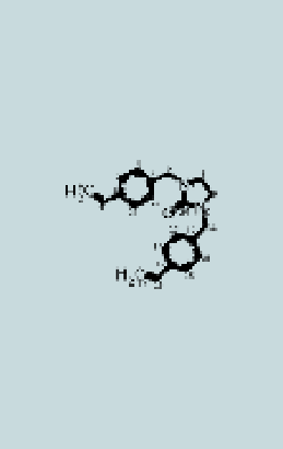 C=Cc1ccc(CN2CCN(Cc3ccc(C=C)cc3)C2=O)cc1